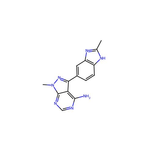 Cc1nc2cc(-c3nn(C)c4ncnc(N)c34)ccc2[nH]1